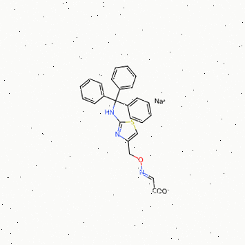 O=C([O-])C=NOCc1csc(NC(c2ccccc2)(c2ccccc2)c2ccccc2)n1.[Na+]